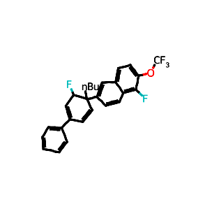 CCCCC1(c2ccc3c(F)c(OC(F)(F)F)ccc3c2)C=CC(c2ccccc2)=CC1F